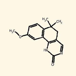 COc1ccc2c(c1)-c1[nH]c(=O)ncc1CC2(C)C